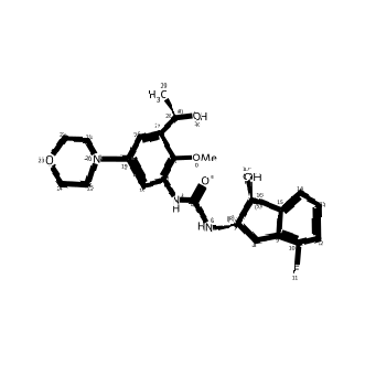 COc1c(NC(=O)N[C@@H]2Cc3c(F)cccc3[C@@H]2O)cc(N2CCOCC2)cc1[C@@H](C)O